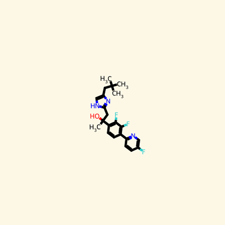 CC(C)(C)Cc1c[nH]c(CC(C)(O)c2ccc(-c3ccc(F)cn3)c(F)c2F)n1